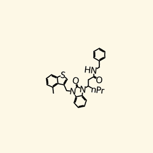 CCCC(CC(=O)NCc1ccccc1)n1c(=O)n(Cc2csc3cccc(C)c23)c2ccccc21